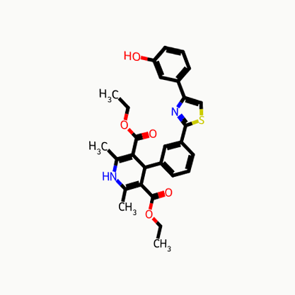 CCOC(=O)C1=C(C)NC(C)=C(C(=O)OCC)C1c1cccc(-c2nc(-c3cccc(O)c3)cs2)c1